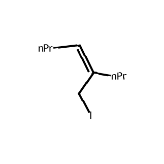 CCCC=C(CI)CCC